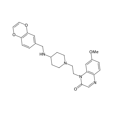 COc1ccc2ncc(=O)n(CCN3CCC(NCc4ccc5c(c4)OC=CO5)CC3)c2c1